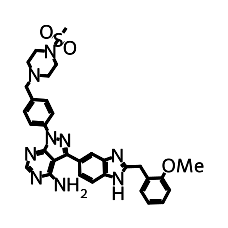 COc1ccccc1Cc1nc2cc(-c3nn(-c4ccc(CN5CCN(S(C)(=O)=O)CC5)cc4)c4ncnc(N)c34)ccc2[nH]1